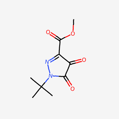 COC(=O)C1=NN(C(C)(C)C)C(=O)C1=O